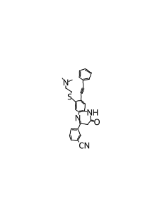 CN(C)CCSc1cc2c(cc1C#Cc1ccccc1)NC(=O)CC(c1cccc(C#N)c1)=N2